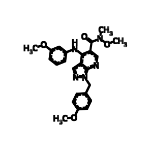 COc1ccc(Cn2ncc3c(Nc4cccc(OC)c4)c(C(=O)N(C)OC)cnc32)cc1